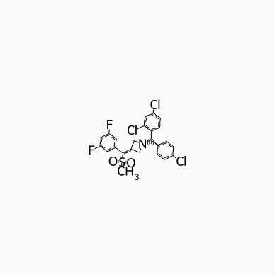 CS(=O)(=O)C(=C1CN([C@H](c2ccc(Cl)cc2)c2ccc(Cl)cc2Cl)C1)c1cc(F)cc(F)c1